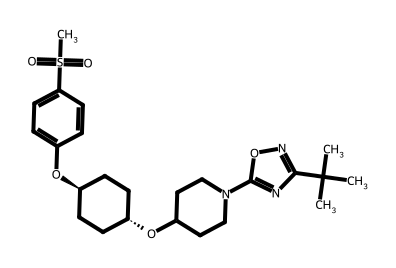 CC(C)(C)c1noc(N2CCC(O[C@H]3CC[C@H](Oc4ccc(S(C)(=O)=O)cc4)CC3)CC2)n1